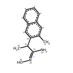 Cc1cc2ccccc2cc1C(C)/C(N)=N\O